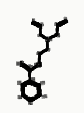 C=CCN(CC=C)CCOC(=S)c1ccccc1